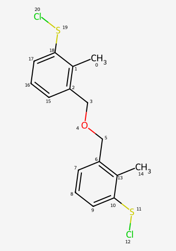 Cc1c(COCc2cccc(SCl)c2C)cccc1SCl